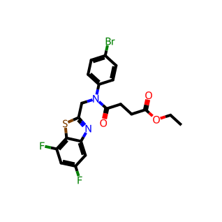 CCOC(=O)CCC(=O)N(Cc1nc2cc(F)cc(F)c2s1)c1ccc(Br)cc1